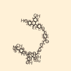 CCC(=C(c1ccc(O)cc1)c1ccc(OCCN2CCN(C(=O)CCOCCOCCC(=O)NC(C(=O)N3C[C@H](O)C[C@H]3C(=O)NCc3ccc(-c4scnc4C)cc3)C(C)(C)C)CC2)cc1)c1ccc(O)cc1